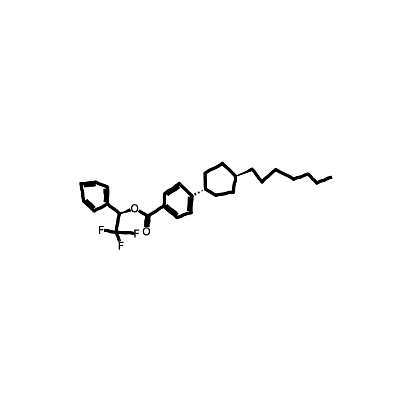 CCCCCCC[C@H]1CC[C@H](c2ccc(C(=O)O[C@H](c3ccccc3)C(F)(F)F)cc2)CC1